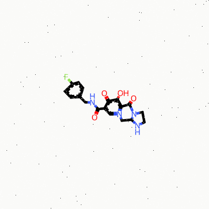 O=C(NCc1ccc(F)cc1)c1cn2c(c(O)c1=O)C(=O)N1CCNC1C2